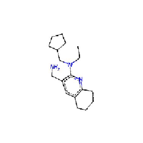 CCN(CC1CCCC1)c1nc2c(cc1CN)CCCC2